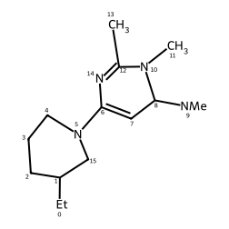 CCC1CCCN(C2=CC(NC)N(C)C(C)=N2)C1